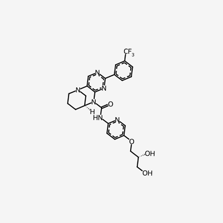 O=C(Nc1ccc(OC[C@H](O)CO)cn1)N1c2nc(-c3cccc(C(F)(F)F)c3)ncc2N2CCC[C@H]1C2